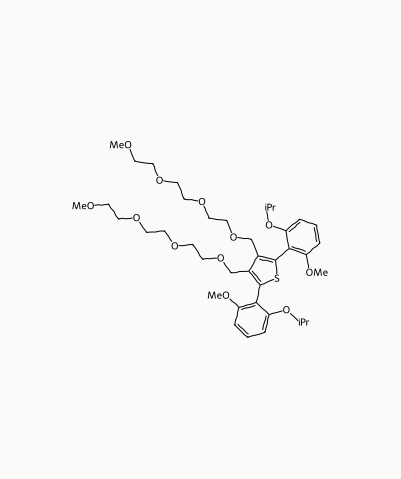 COCCOCCOCCOCc1c(-c2c(OC)cccc2OC(C)C)sc(-c2c(OC)cccc2OC(C)C)c1COCCOCCOCCOC